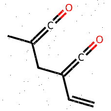 C=CC(=C=O)CC(C)=C=O